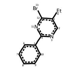 CCc1cnc(-c2ccccc2)nc1Br